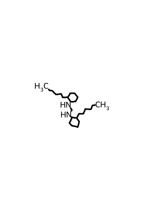 CCCCCCC1CCCCC1NCNC1CCCCC1CCCCCC